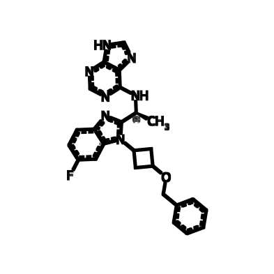 C[C@H](Nc1ncnc2[nH]cnc12)c1nc2ccc(F)cc2n1C1CC(OCc2ccccc2)C1